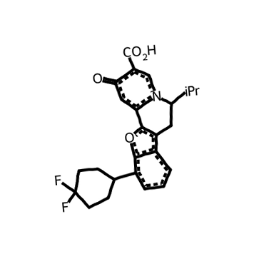 CC(C)C1Cc2c(oc3c(C4CCC(F)(F)CC4)cccc23)-c2cc(=O)c(C(=O)O)cn21